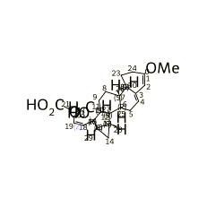 COC1=CC2=CC[C@@H]3[C@H](CC[C@@]4(C)[C@H]3[C@@H]3C[C@@H]3[C@@]4(O)/C=C\OC(=O)O)[C@H]2CC1